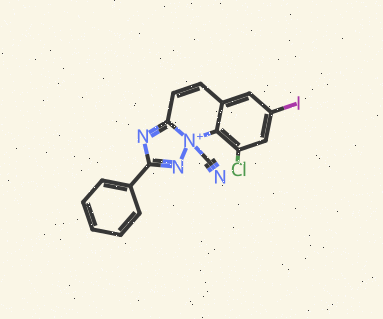 N#C[N+]12N=C(c3ccccc3)N=C1C=Cc1cc(I)cc(Cl)c12